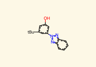 CC(C)(C)c1cc(O)cc(-n2nc3ccccc3n2)c1